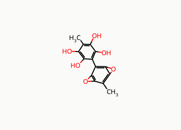 Cc1c(O)c(O)c(-c2c3oc3c(C)c3oc23)c(O)c1O